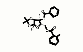 Cc1ccccc1C(=O)OC[C@@H]1O[C@H]2OC(C)(C)OC2[C@@]1(C)OC(=O)c1ccccc1